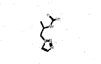 CC(Cn1ccnn1)NC(=O)O